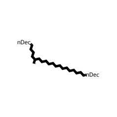 [CH2]C(CCCCCCCCCCCCCC)CCCCCCCCCCCCCCCCCCCCCCCC